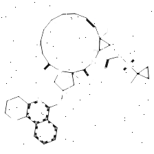 C[C@@H]1CC/C=C\[C@@H]2C[C@@]2(C(=O)NS(=O)(=O)C2(C)CC2)NC(=O)[C@@H]2C[C@@H](Oc3nc4c(c5ccccc35)OCCC4)CN2C(=O)C[C@H](C)C1